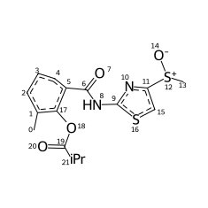 Cc1cccc(C(=O)Nc2nc([S+](C)[O-])cs2)c1OC(=O)C(C)C